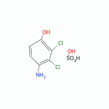 Nc1ccc(O)c(Cl)c1Cl.O=S(=O)(O)O